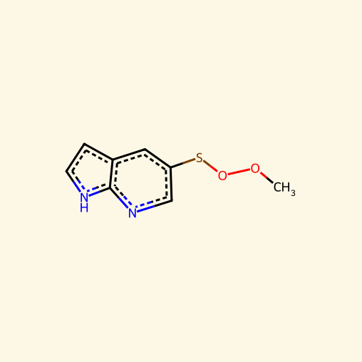 COOSc1cnc2[nH]ccc2c1